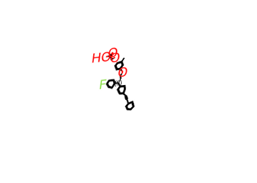 Cc1cc(OCC[C@H](c2ccc(F)cc2)c2ccc(C#Cc3ccccc3)cc2)ccc1OCC(=O)O